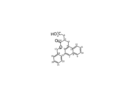 O=C(O)CC(Cc1cccc2ccccc12)C(=O)OCc1ccccc1